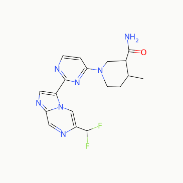 CC1CCN(c2ccnc(-c3cnc4cnc(C(F)F)cn34)n2)CC1C(N)=O